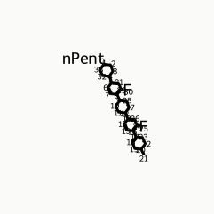 CCCCCC1CCC(c2ccc(C3CCC(c4ccc(C5=CCC(C)CC5)c(F)c4)CC3)c(F)c2)CC1